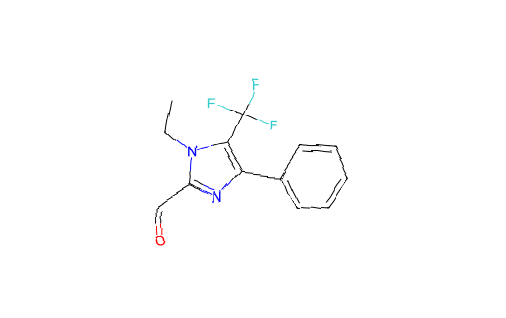 CCn1c(C=O)nc(-c2ccccc2)c1C(F)(F)F